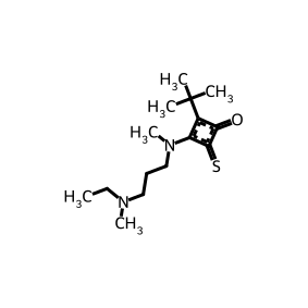 CCN(C)CCCN(C)c1c(C(C)(C)C)c(=O)c1=S